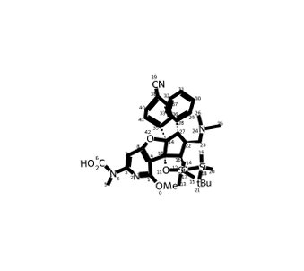 COc1nc(N(C)C(=O)O)cc2c1[C@]1(O[Si](C)(C)C)[C@H](O[Si](C)(C)C(C)(C)C)[C@H](CN(C)C)[C@@H](c3ccccc3)[C@]1(c1ccc(C#N)cc1)O2